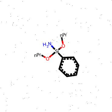 CCCO[Si](N)(OCCC)c1ccccc1